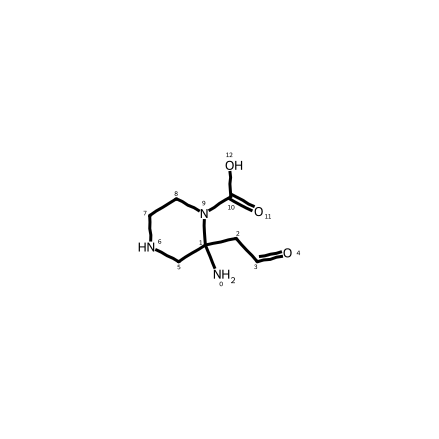 NC1(CC=O)CNCCN1C(=O)O